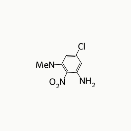 CNc1cc(Cl)cc(N)c1[N+](=O)[O-]